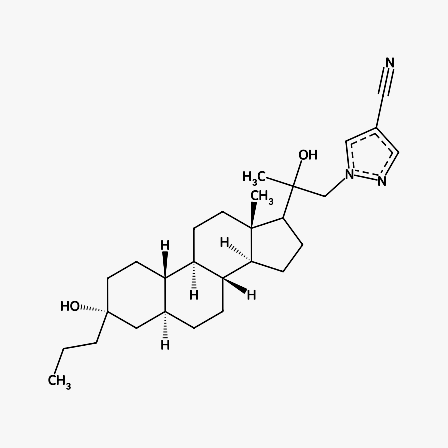 CCC[C@@]1(O)CC[C@H]2[C@@H](CC[C@@H]3[C@@H]2CC[C@]2(C)C(C(C)(O)Cn4cc(C#N)cn4)CC[C@@H]32)C1